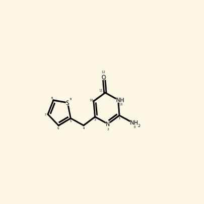 Nc1nc(Cc2cccs2)cc(=O)[nH]1